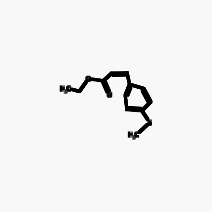 CCOC(=O)/C=C\c1ccc(SC)cc1